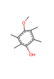 COc1c(C)c(C)c(O)c(C)c1C